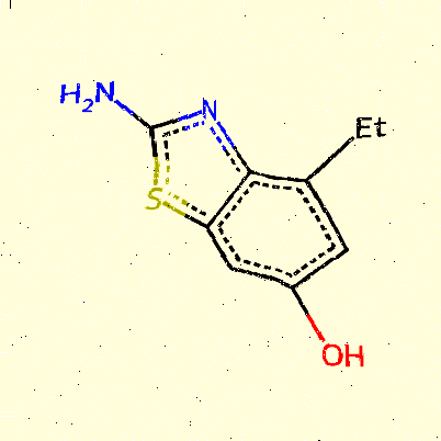 CCc1cc(O)cc2sc(N)nc12